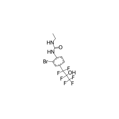 CCNC(=O)Nc1ccc(C(F)(F)C(O)(F)C(F)(F)F)cc1Br